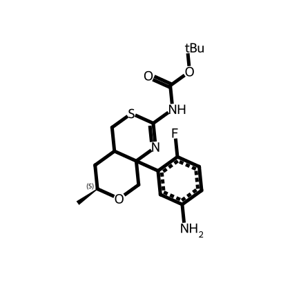 C[C@H]1CC2CSC(NC(=O)OC(C)(C)C)=NC2(c2cc(N)ccc2F)CO1